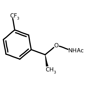 CC(=O)NO[C@@H](C)c1cccc(C(F)(F)F)c1